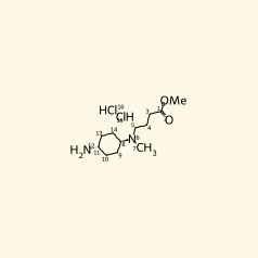 COC(=O)CCCN(C)[C@H]1CC[C@H](N)CC1.Cl.Cl